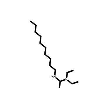 CCCCCCCCCCNC(C)N(CC)CC